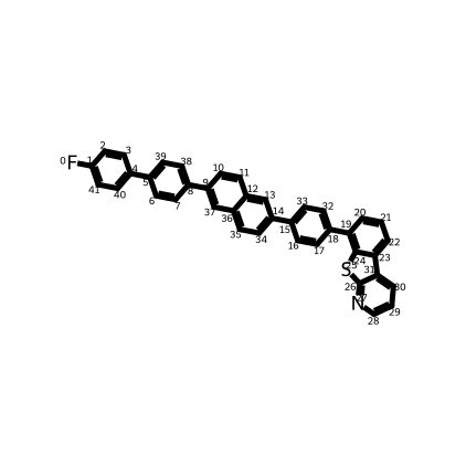 Fc1ccc(-c2ccc(-c3ccc4cc(-c5ccc(-c6cccc7c6sc6ncccc67)cc5)ccc4c3)cc2)cc1